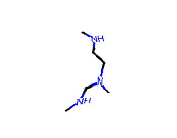 CNCCN(C)CNC